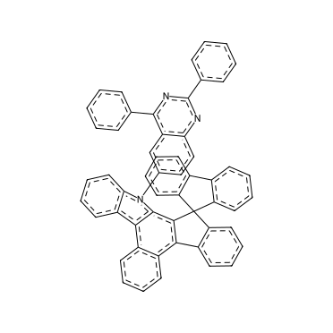 c1ccc(-c2nc(-c3ccccc3)c3cc(-n4c5ccccc5c5c6ccccc6c6c(c54)C4(c5ccccc5-c5ccccc54)c4ccccc4-6)ccc3n2)cc1